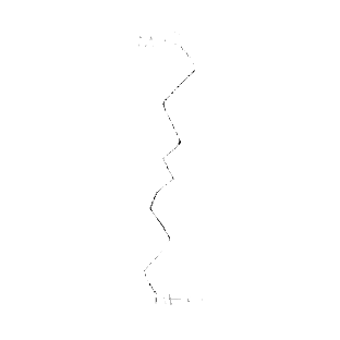 [CH2]CCCCCCCCCCCCCOC